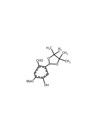 COc1cc(C=O)c(B2OC(C)(C)C(C)(C)O2)cc1O